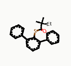 CCC(C)(C)C(=O)Sc1c(-c2ccccc2)cccc1-c1ccccc1